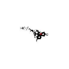 O=C(O)CSCC[C@@H]1OCC[C@@]2(S(=O)(=O)c3ccc(Cl)cc3)c3c(F)ccc(F)c3OC[C@@H]12